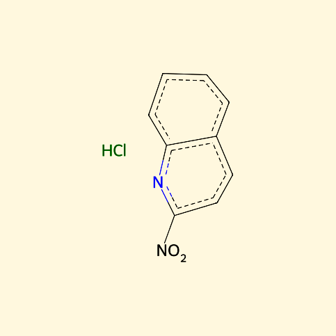 Cl.O=[N+]([O-])c1ccc2ccccc2n1